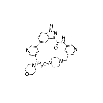 CN1CCN(Cc2cncc(NC(=O)c3n[nH]c4ccc(-c5cncc(CN6CCOCC6)c5)cc34)c2)CC1